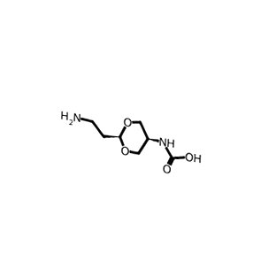 NCC[C@H]1OC[C@@H](NC(=O)O)CO1